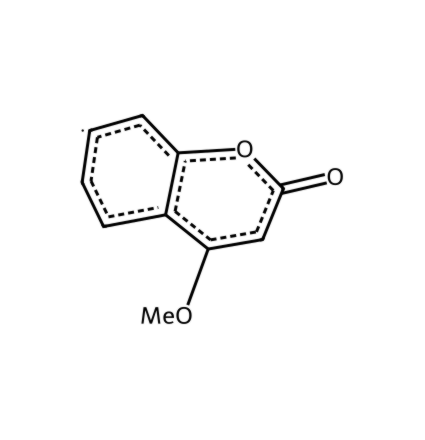 COc1cc(=O)oc2c[c]ccc12